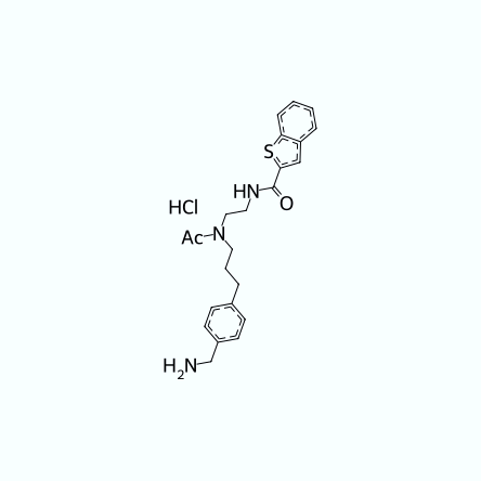 CC(=O)N(CCCc1ccc(CN)cc1)CCNC(=O)c1cc2ccccc2s1.Cl